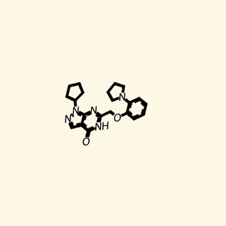 O=c1[nH]c(COc2ccccc2N2CCCC2)nc2c1cnn2C1CCCC1